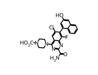 NC(=O)c1nc(N2CCN(C(=O)O)CC2)c2cc(Cl)c(-c3cc(O)cc4ccccc34)c(F)c2n1